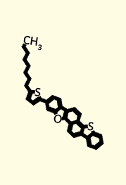 CCCCCCCCc1ccc(-c2ccc3c(c2)oc2c3ccc3c2ccc2c4ccccc4sc23)s1